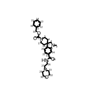 CN1CC2(CCN(C(=O)OCc3ccccc3)CC2)c2ccc(C(=O)NCCN3CCOCC3)cc21